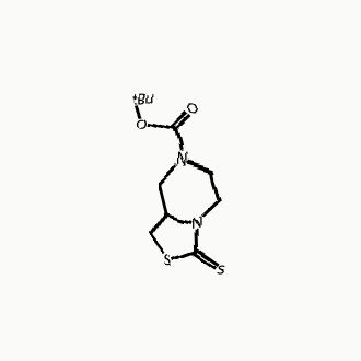 CC(C)(C)OC(=O)N1CCN2C(=S)SCC2C1